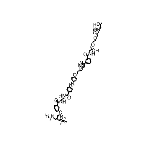 CC(O)CNCC(O)COCCOCC(O)CNC(=O)c1cccc(-c2cn(CCCOc3ccc(/N=N/c4ccc(C(=O)NCCNC(=O)c5cccc(Oc6cc(CN)cc(C(F)(F)F)n6)c5)cc4)cc3)nn2)c1